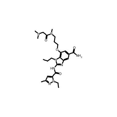 CCCn1c(NC(=O)c2cc(C)nn2CC)nc2cc(C(N)=O)cc(OCCCN(C)C(=O)CN(C)C)c21